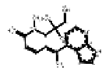 C=C(/C=C\C=C(/N)c1ccnc2[nH]ccc12)N(C)CC(C)(C)CO